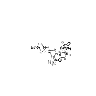 CCN1CCN(Cc2ccc(C(N)=O)c(-c3ccc(C)c(NS(C)(=O)=O)c3)c2)CC1